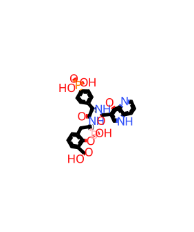 O=C(O)c1cccc2c1OB(O)[C@@H](NC(=O)[C@H](NC(=O)c1c[nH]c3cccnc3c1=O)c1ccc(P(=O)(O)O)cc1)C2